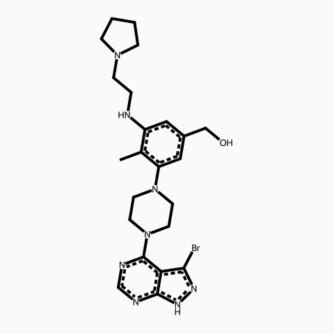 Cc1c(NCCN2CCCC2)cc(CO)cc1N1CCN(c2ncnc3[nH]nc(Br)c23)CC1